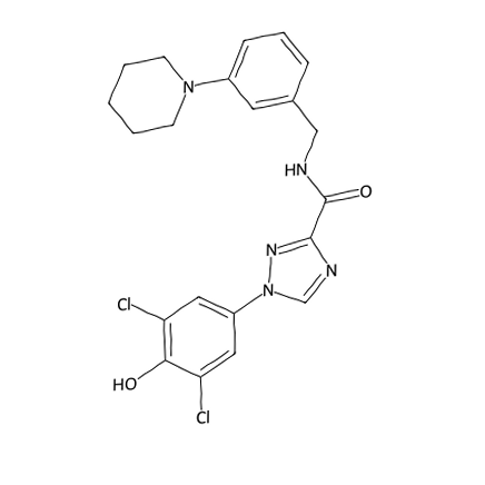 O=C(NCc1cccc(N2CCCCC2)c1)c1ncn(-c2cc(Cl)c(O)c(Cl)c2)n1